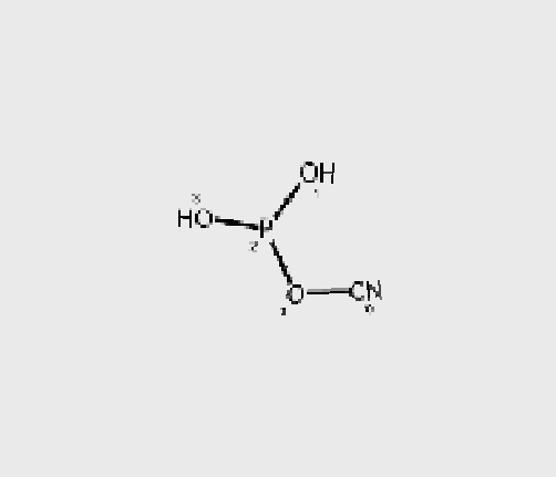 N#COP(O)O